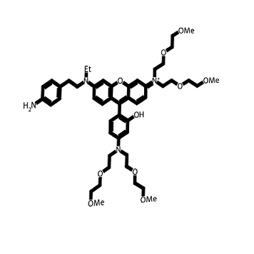 CCN(CCc1ccc(N)cc1)c1ccc2c(-c3ccc(N(CCOCCOC)CCOCCOC)cc3O)c3ccc(=[N+](CCOCCOC)CCOCCOC)cc-3oc2c1